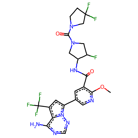 COc1ncc(-c2cc(C(F)(F)F)c3c(N)ncnn23)cc1C(=O)NC1CN(C(=O)N2CCC(F)(F)C2)CC1F